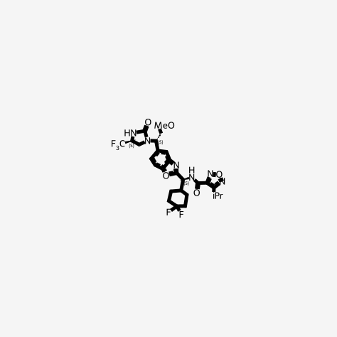 COC[C@H](c1ccc2oc([C@@H](NC(=O)c3nonc3C(C)C)C3CCC(F)(F)CC3)nc2c1)N1C[C@@H](C(F)(F)F)NC1=O